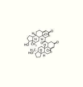 C[C@]12CC[C@H]3[C@@H](CCC4=CC(=O)CC(C(=O)C5CC(=O)C=C6CC[C@H]7[C@@H]8CC[C@H](O)[C@@]8(C)CC[C@@H]7[C@]65C)[C@@]43C)[C@@H]1CC[C@@H]2O